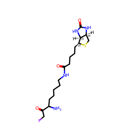 NC(CCCCCNC(=O)CCCC[C@@H]1SC[C@@H]2NC(=O)N[C@@H]21)C(=O)CI